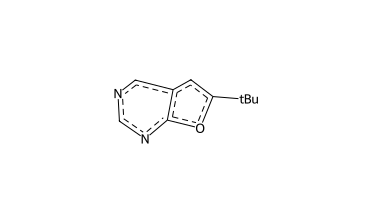 CC(C)(C)c1cc2cncnc2o1